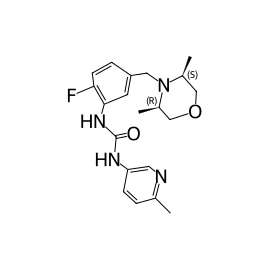 Cc1ccc(NC(=O)Nc2cc(CN3[C@H](C)COC[C@@H]3C)ccc2F)cn1